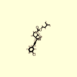 CC(C)CCOC(=O)N1CCC2C(C#Cc3cccc(Cl)c3)=NOC21